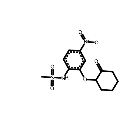 CS(=O)(=O)Nc1ccc([N+](=O)[O-])cc1OC1CCCCC1=O